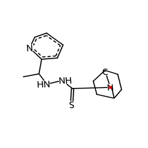 CC(NNC(=S)N1CC2CCC(CC2)C1)c1ccccn1